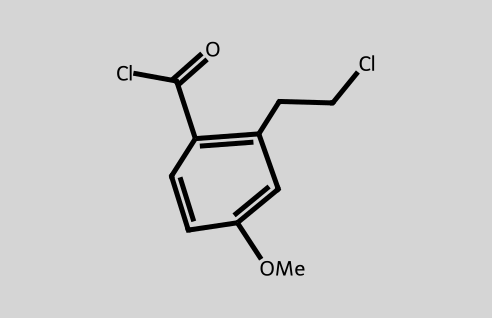 COc1ccc(C(=O)Cl)c(CCCl)c1